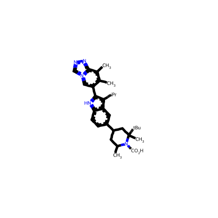 Cc1c(-c2[nH]c3ccc(C4CC(C)N(C(=O)O)C(C)(C(C)(C)C)C4)cc3c2C(C)C)cn2cnnc2c1C